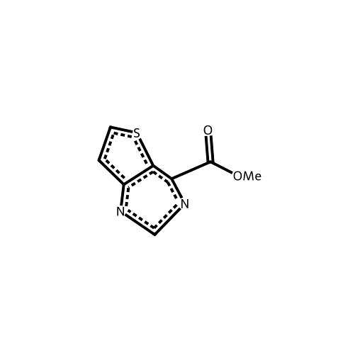 COC(=O)c1ncnc2ccsc12